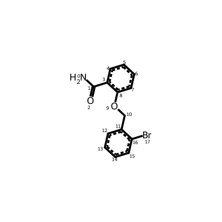 NC(=O)c1ccccc1OCc1ccccc1Br